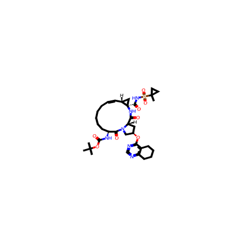 CC(C)(C)OC(=O)N[C@H]1CCCCC/C=C\[C@@H]2C[C@@]2(C(=O)NS(=O)(=O)C2(C)CC2)NC(=O)[C@@H]2C[C@@H](Oc3ncnc4c3CCCC4)CN2C1=O